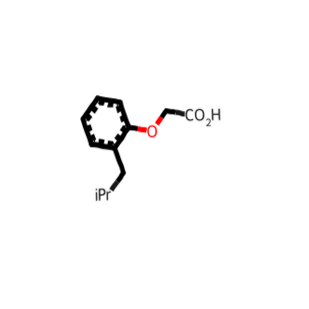 CC(C)Cc1ccccc1OCC(=O)O